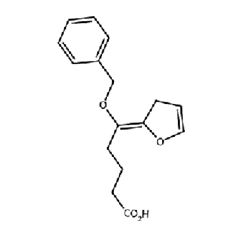 O=C(O)CCCC(OCc1ccccc1)=C1CC=CO1